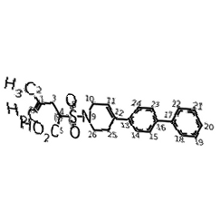 C=C(C)C[C@H](C(=O)O)S(=O)(=O)N1CC=C(c2ccc(-c3ccccc3)cc2)CC1